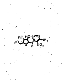 Nc1ncnc(NC2SC(CO)C(O)C2O)c1[N+](=O)[O-]